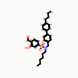 CCCCCCN(Cc1ccc(-c2ccc(CCCC)cc2)cc1)S(=O)(=O)c1ccc(C=O)c(O)c1